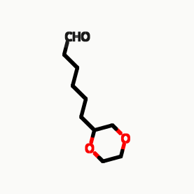 O=CCCCCCC1COCCO1